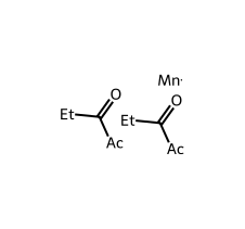 CCC(=O)C(C)=O.CCC(=O)C(C)=O.[Mn]